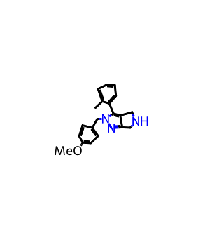 COc1ccc(Cn2nc3c(c2-c2ccccc2C)CNC3)cc1